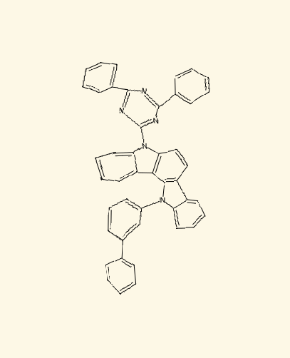 c1ccc(-c2cccc(-n3c4ccccc4c4ccc5c(c6ccccc6n5-c5nc(-c6ccccc6)nc(-c6ccccc6)n5)c43)c2)cc1